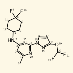 Cc1cc(NC2CCC(F)(F)CC2)nc(-n2ccc(OC(F)F)n2)n1